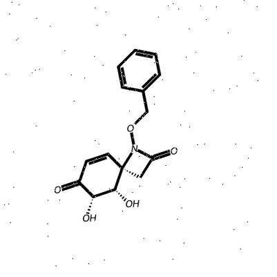 O=C1C=C[C@]2(CC(=O)N2OCc2ccccc2)[C@H](O)[C@@H]1O